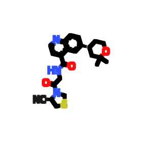 CC1(C)C[C@H](c2ccc3nccc(C(=O)NCC(=O)N4CSC[C@H]4C#N)c3c2)CCO1